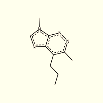 CCCc1c(C)nnc2c1ncn2C